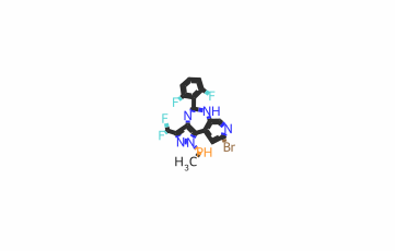 CPn1nc(C(F)F)c2c1-c1cc(Br)ncc1NC(c1c(F)cccc1F)=N2